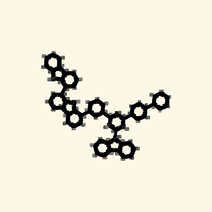 c1ccc(-c2ccc(-c3nc(-c4cccc(-c5cccc6c5oc5c(-c7cccc8c7oc7ccccc78)cccc56)c4)nc(-n4c5ccccc5c5ccccc54)n3)cc2)cc1